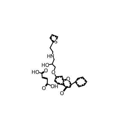 O=C(O)C=CC(=O)O.O=c1cc(-c2ccccc2)oc2cc(OCC(O)CNCCc3cccs3)ccc12